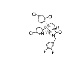 O=C1[C@H]2C=C[C@@H](c3ccc(Cl)cc3Cl)[C@H](c3ccc(Cl)cn3)[C@@H]2CN1Cc1ccc(F)c(F)c1